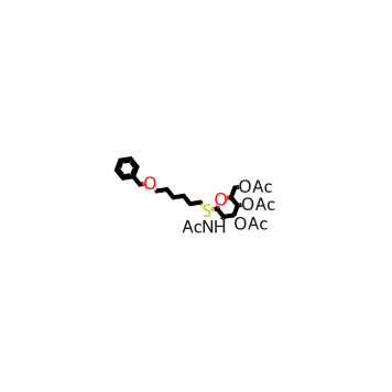 CC(=O)NC1C(SCCCCCCOCc2ccccc2)OC(COC(C)=O)C(OC(C)=O)C1OC(C)=O